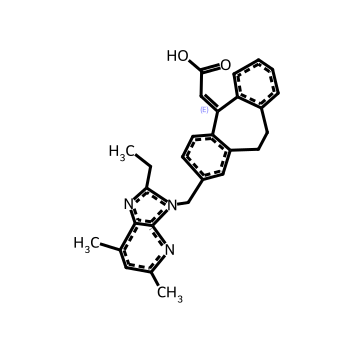 CCc1nc2c(C)cc(C)nc2n1Cc1ccc2c(c1)CCc1ccccc1/C2=C\C(=O)O